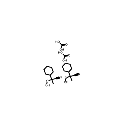 CC(C#N)(OO)C1CCCCC1.CC(C#N)(OO)C1CCCCC1.O=C(O)O.O=C(O)O